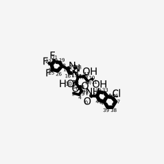 O=C(N[C@@H]1CCO[C@]12O[C@H](CO)[C@H](O)[C@H](n1cc(-c3cc(F)c(F)c(F)c3)nn1)[C@H]2O)c1ccc2c(Cl)cccc2c1